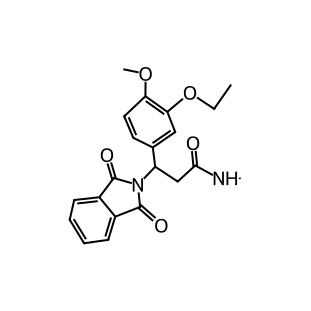 CCOc1cc(C(CC([NH])=O)N2C(=O)c3ccccc3C2=O)ccc1OC